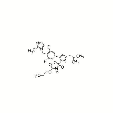 Cc1nccn1Cc1c(F)cc(-c2cc(CC(C)C)sc2S(=O)(=O)NC(=O)OCCO)cc1F